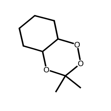 CC1(C)OOC2CCCCC2O1